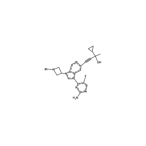 CC(C)N1CC(n2cc(-c3nc(N)ncc3F)c3cc(C#CC(C)(O)C4CC4)ncc32)C1